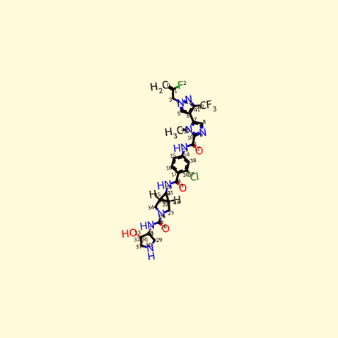 C=C(F)Cn1cc(-c2cnc(C(=O)Nc3ccc(C(=O)N[C@H]4[C@@H]5CN(C(=O)N[C@@H]6CNC[C@H]6O)C[C@@H]54)c(Cl)c3)n2C)c(C(F)(F)F)n1